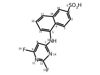 O=S(=O)(O)c1ccc2c(Nc3cc(F)nc(F)n3)cc[c]c2c1